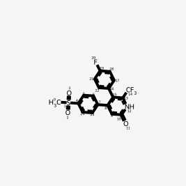 CS(=O)(=O)c1ccc(-c2cc(=O)[nH]c(C(F)(F)F)c2-c2ccc(F)cc2)cc1